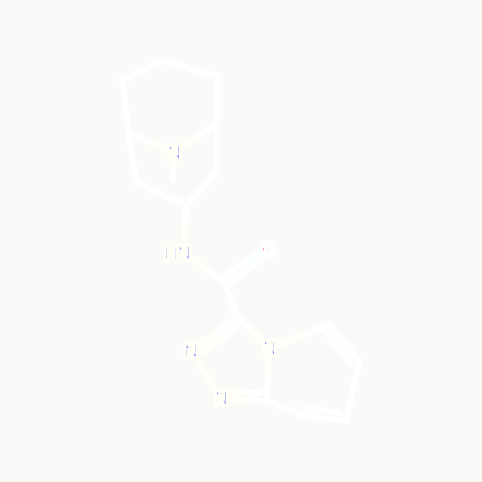 CN1C2CCCC1CC(NC(=O)c1nnc3ccccn13)C2